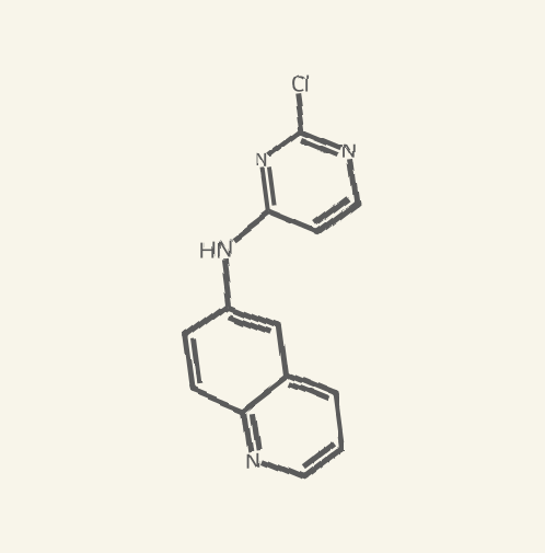 Clc1nccc(Nc2ccc3ncccc3c2)n1